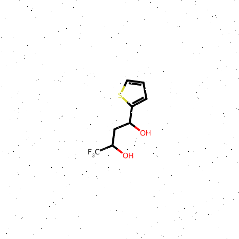 OC(CC(O)C(F)(F)F)c1cccs1